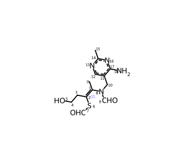 C/C(=C(\CCO)SC=O)N(C=O)Cc1cnc(C)nc1N